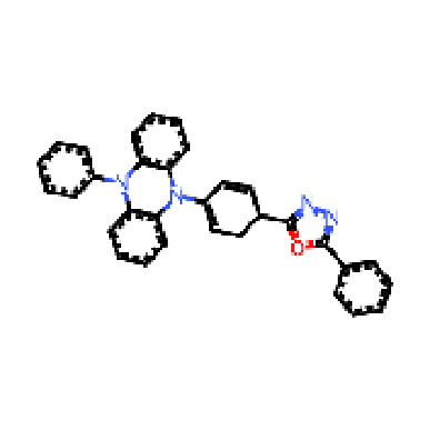 C1=CC(c2nnc(-c3ccccc3)o2)CC=C1N1c2ccccc2N(c2ccccc2)c2ccccc21